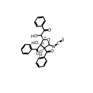 O=C(c1ccccc1)C(O)[C@H]1OC(N=C=S)[C@@](O)(C(=O)c2ccccc2)[C@@]1(O)C(=O)c1ccccc1